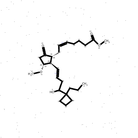 CCCC1(C(O)C/C=C/[C@H]2[C@H](OC)CC(=O)[C@@H]2C/C=C\CCCC(=O)OC)CCC1